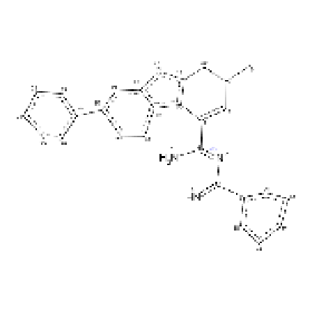 CC1C=C(/C(N)=N/C(=N)c2ccccc2)c2c(oc3cc(-c4ccccc4)ccc23)C1